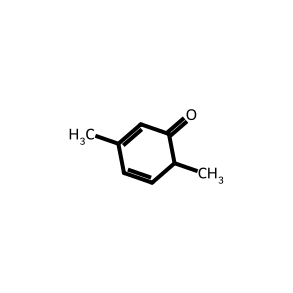 CC1=CC(=O)C(C)C=C1